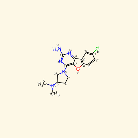 CN(C)C1CCN(c2nc(N)nc3c2oc2ccc(Cl)cc23)C1